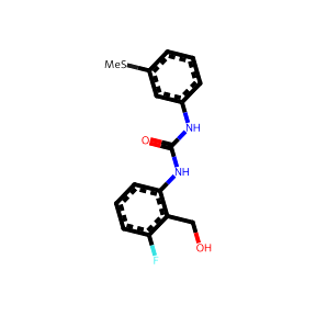 CSc1cccc(NC(=O)Nc2cccc(F)c2CO)c1